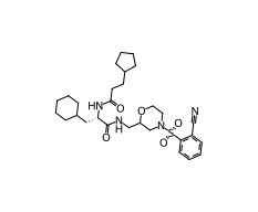 N#Cc1ccccc1S(=O)(=O)N1CCOC(CNC(=O)[C@H](CC2CCCCC2)NC(=O)CCC2CCCC2)C1